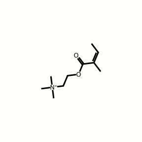 CC=C(C)C(=O)OCC[N+](C)(C)C